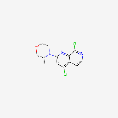 CC1COCCN1c1cc(Cl)c2ccnc(Cl)c2n1